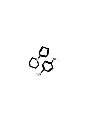 Nc1ccc(N)cc1.c1ccc(N2CCCCC2)cc1